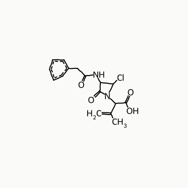 C=C(C)C(C(=O)O)N1C(=O)C(NC(=O)Cc2ccccc2)C1Cl